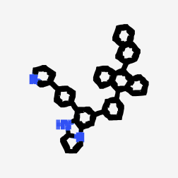 C1=CC2Nc3c(-c4ccc(-c5cccnc5)cc4)cc(-c4cccc(-c5c6ccccc6c(-c6ccc7ccccc7c6)c6ccccc56)c4)cc3N2C=C1